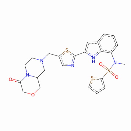 CN(c1cccc2cc(-c3ncc(CN4CCN5C(=O)COCC5C4)s3)[nH]c12)S(=O)(=O)c1cccs1